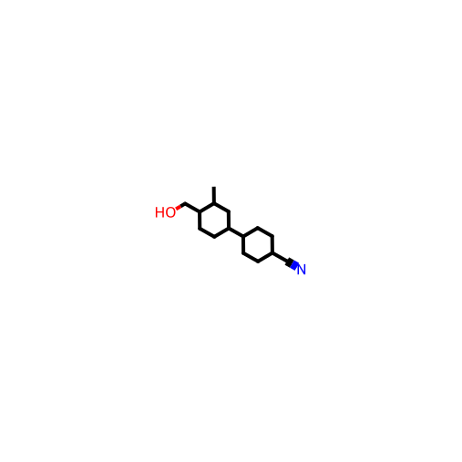 CC1CC(C2CCC(C#N)CC2)CCC1CO